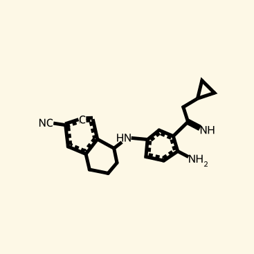 N#Cc1ccc2c(c1)CCCC2Nc1ccc(N)c(C(=N)CC2CC2)c1